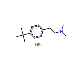 Br.CN(C)CCc1ccc(C(C)(C)C)cc1